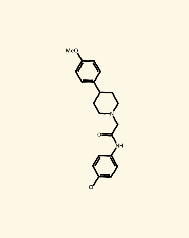 COc1ccc(C2CCN(CC(=O)Nc3ccc(Cl)cc3)CC2)cc1